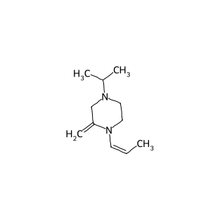 C=C1CN(C(C)C)CCN1/C=C\C